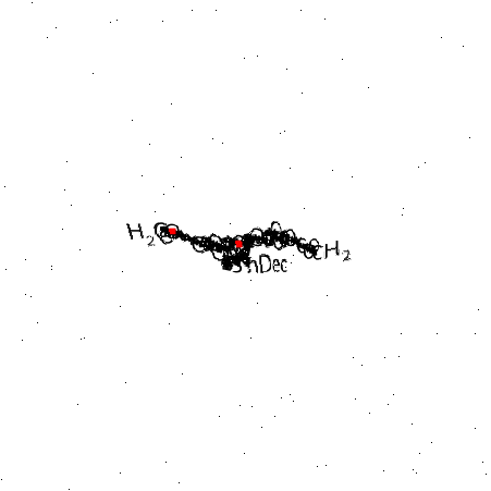 C=CC(=O)OCCCCCCOc1ccc(OC(=O)C2CCC(COc3ccc(OCC4CCC(C(=O)Oc5ccc(OCCCCCCOC(=O)C=C)cc5)CC4)c(/C=N/N(CCCCCCCCCCCC)c4nc5ccccc5s4)c3)CC2)cc1